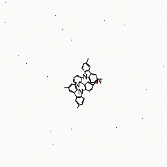 Cc1ccc2c(c1)c1cc(C)ccc1n2-c1ccc(C#N)cc1-c1ncccc1-n1c2ccc(C)cc2c2cc(C)ccc21